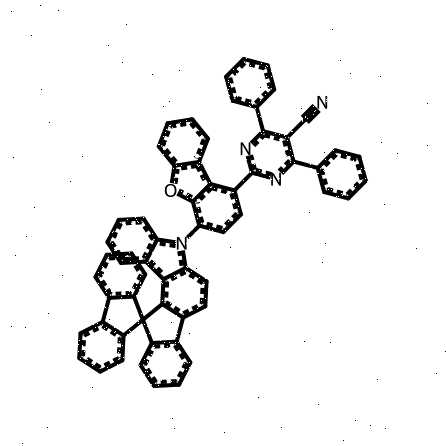 N#Cc1c(-c2ccccc2)nc(-c2ccc(-n3c4ccccc4c4c5c(ccc43)-c3ccccc3C53c4ccccc4-c4ccccc43)c3oc4ccccc4c23)nc1-c1ccccc1